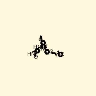 CCOc1ccc2nc(-c3cccc(OCCCN4CCOCC4C)c3)nc(Nc3ccc4c(c3)CNC4=O)c2c1